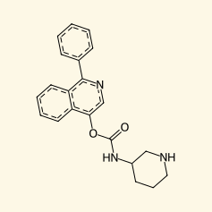 O=C(NC1CCCNC1)Oc1cnc(-c2ccccc2)c2ccccc12